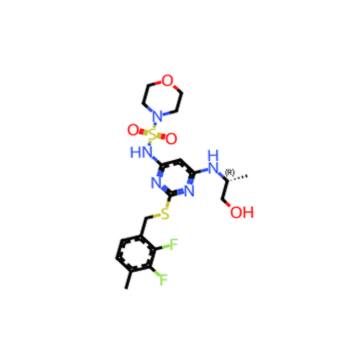 Cc1ccc(CSc2nc(N[C@H](C)CO)cc(NS(=O)(=O)N3CCOCC3)n2)c(F)c1F